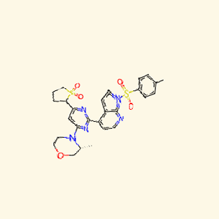 Cc1ccc(S(=O)(=O)n2ccc3c(-c4nc(C5CCCS5(=O)=O)cc(N5CCOC[C@H]5C)n4)ccnc32)cc1